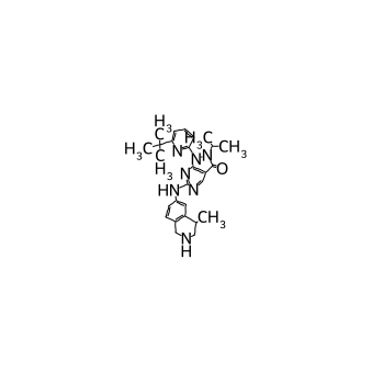 CC1CNCc2ccc(Nc3ncc4c(=O)n(C(C)C)n(-c5cccc(C(C)(C)C)n5)c4n3)cc21